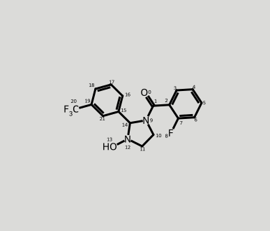 O=C(c1ccccc1F)N1CCN(O)C1c1cccc(C(F)(F)F)c1